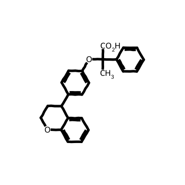 CC(Oc1ccc(C2CCOc3ccccc32)cc1)(C(=O)O)c1ccccc1